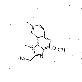 Cc1ccc2ncc3nc(CO)n(C)c3c2c1.Cl.O